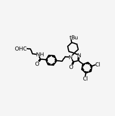 CC(C)(C)C1CCC2(CC1)N=C(c1cc(Cl)cc(Cl)c1)C(=O)N2CCc1ccc(C(=O)NCCC=O)cc1